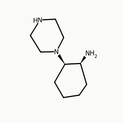 N[C@H]1CCCC[C@H]1N1CCNCC1